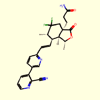 C[C@H]1OC(=O)[C@]2(CCC(N)=O)CC(F)(F)[C@@H](C)[C@H](C=Cc3ccc(-c4cccnc4C#N)cn3)[C@H]12